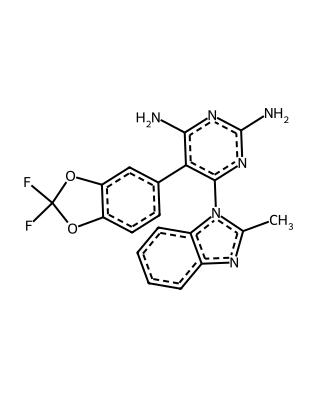 Cc1nc2ccccc2n1-c1nc(N)nc(N)c1-c1ccc2c(c1)OC(F)(F)O2